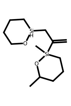 C=C(C[SiH]1CCCCO1)[Si]1(C)CCCC(C)O1